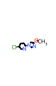 COc1cn(-c2ccc(Cl)cn2)cn1